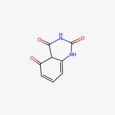 O=C1NC(=O)C2C(=O)C=CC=C2N1